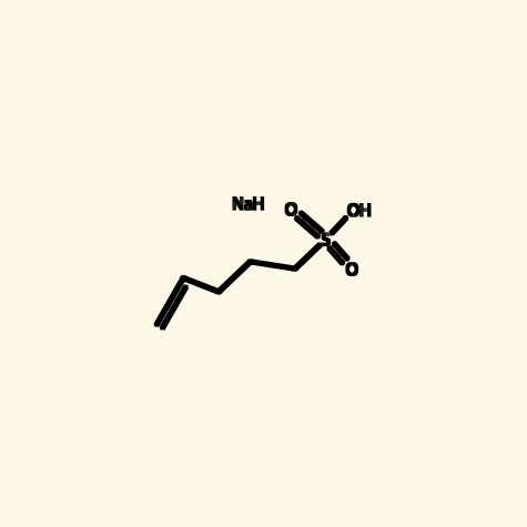 C=CCCCS(=O)(=O)O.[NaH]